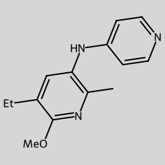 CCc1cc(Nc2ccncc2)c(C)nc1OC